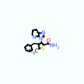 Cc1sc(C(N)=O)c(-n2cnc3cccnc32)c1Cc1ccccc1